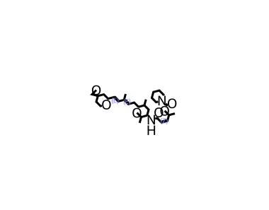 CC(/C=C/C1CC2(CCO1)CO2)=C\CC1OC(C)C(NC(=O)/C=C\C(C)OC(=O)N2CCCCC2)CC1C